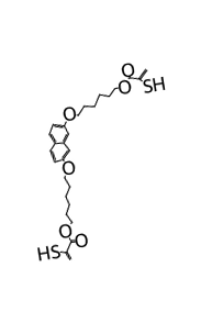 C=C(S)C(=O)OCCCCCCOc1ccc2ccc(OCCCCCCOC(=O)C(=C)S)cc2c1